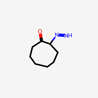 N=NC1CCCCCCC1=O